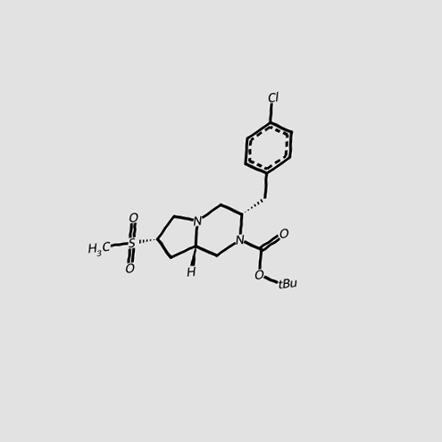 CC(C)(C)OC(=O)N1C[C@@H]2C[C@H](S(C)(=O)=O)CN2C[C@@H]1Cc1ccc(Cl)cc1